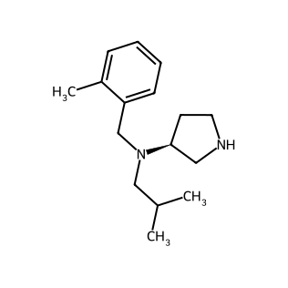 Cc1ccccc1CN(CC(C)C)[C@H]1CCNC1